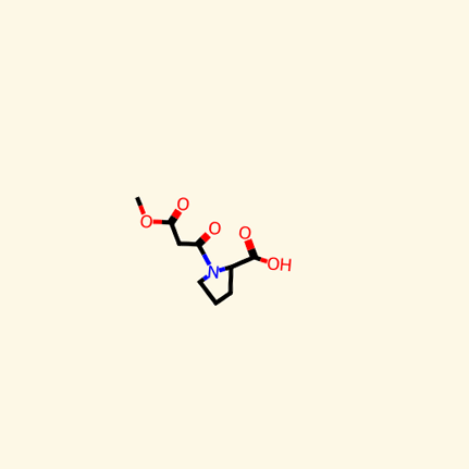 COC(=O)CC(=O)N1CCCC1C(=O)O